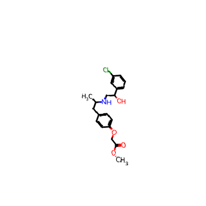 COC(=O)COc1ccc(CC(C)NCC(O)c2cccc(Cl)c2)cc1